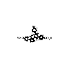 COC1CCN(c2cccc3c2CCN(C(=O)C2CCC(N)CC2)C3C(=O)Nc2ccc(C(=O)O)cc2)CC1